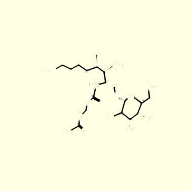 CCCCCCCCCCCCCC[C@@H](C)[C@@H](O)[C@H](CO[C@H]1OC(CO)[C@H](O)[C@H](O)C1O)NC(=O)OCOC(=O)C(C)(C)C